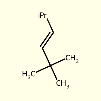 CC(C)/C=C/C(C)(C)C